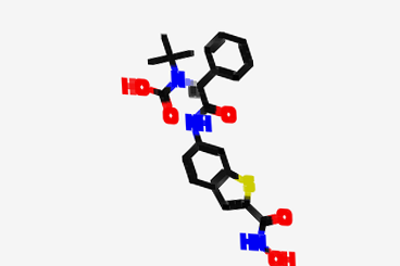 CC(C)(C)N(C(=O)O)[C@@H](C(=O)Nc1ccc2cc(C(=O)NO)sc2c1)c1ccccc1